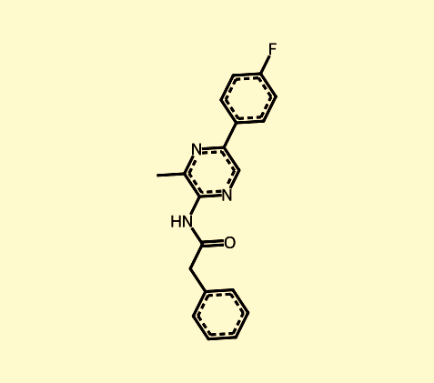 Cc1nc(-c2ccc(F)cc2)cnc1NC(=O)Cc1ccccc1